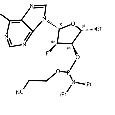 CC[C@H]1O[C@@H](n2cnc3c(C)ncnc32)[C@H](F)[C@@H]1OP(OCCC#N)N(C(C)C)C(C)C